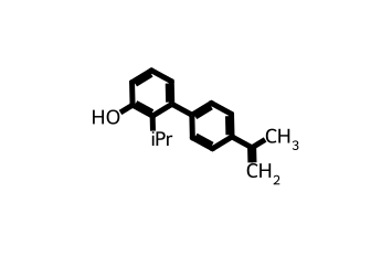 C=C(C)c1ccc(-c2cccc(O)c2C(C)C)cc1